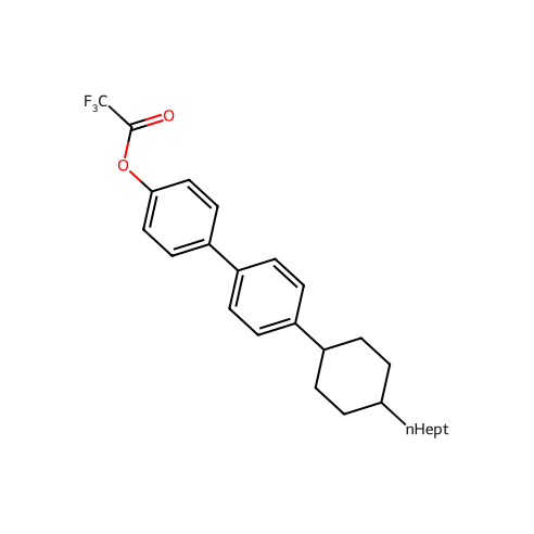 CCCCCCCC1CCC(c2ccc(-c3ccc(OC(=O)C(F)(F)F)cc3)cc2)CC1